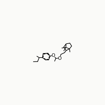 CCC(C)c1ccc(OC(C)OCCC2CC3CCC2(C)C3(C)C)cc1